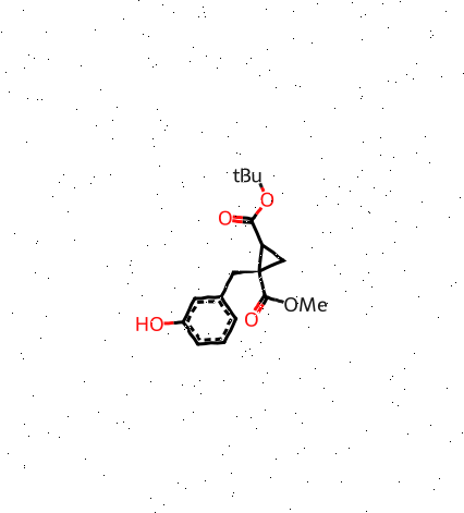 COC(=O)[C@@]1(Cc2cccc(O)c2)CC1C(=O)OC(C)(C)C